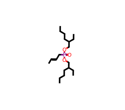 C/C=C/CP(=O)(OCC(CC)CCCC)OCC(CC)CCCC